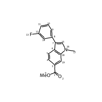 COC(=O)c1ccc2c(-c3cccc(F)c3)cn(C)c2c1